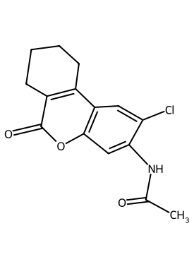 CC(=O)Nc1cc2oc(=O)c3c(c2cc1Cl)CCCC3